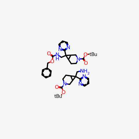 CC(C)(C)OC(=O)N1CCC2C(C1)C2(CN)c1ncccn1.CC(C)(C)OC(=O)N1CCC2C(C1)C2(CNC(=O)OCc1ccccc1)c1ncccn1